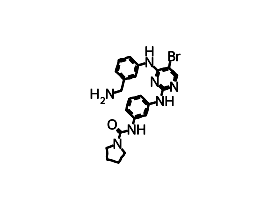 NCc1cccc(Nc2nc(Nc3cccc(NC(=O)N4CCCC4)c3)ncc2Br)c1